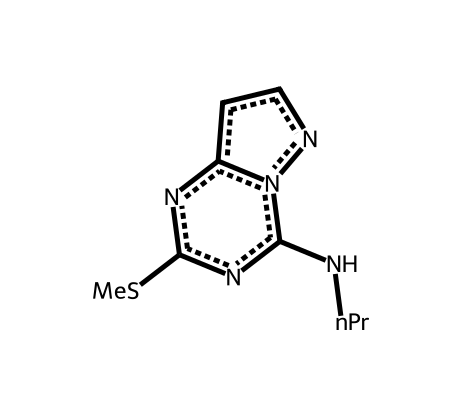 CCCNc1nc(SC)nc2ccnn12